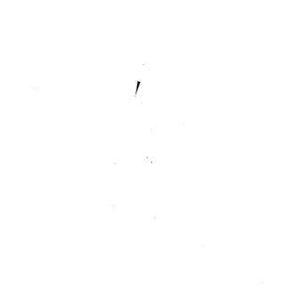 C=CC[C@@H](CCC)C(=O)N1COC=C1Cc1ccccc1